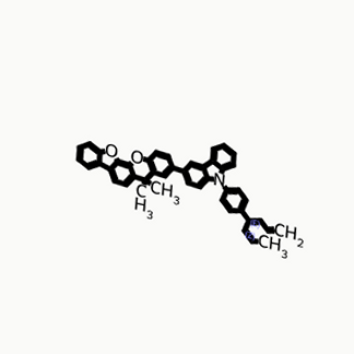 C=C/C=C(\C=C/C)c1ccc(-n2c3ccccc3c3cc(-c4ccc5c(c4)C(C)(C)c4ccc6c(oc7ccccc76)c4O5)ccc32)cc1